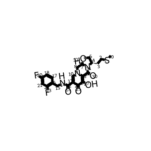 CSCC[C@H]1CO[C@@H]2Cn3cc(C(=O)NCc4ccc(F)cc4F)c(=O)c(O)c3C(=O)N12